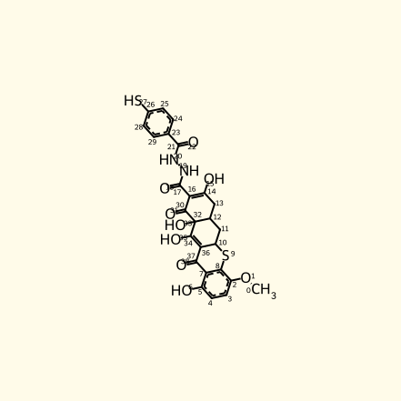 COc1ccc(O)c2c1SC1CC3CC(O)=C(C(=O)NNC(=O)c4ccc(S)cc4)C(=O)C3(O)C(O)=C1C2=O